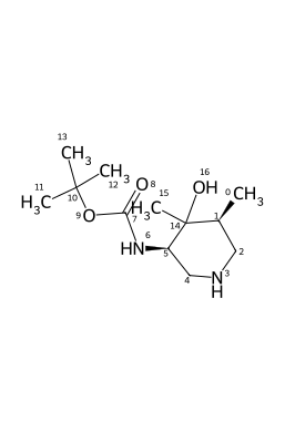 C[C@H]1CNC[C@@H](NC(=O)OC(C)(C)C)C1(C)O